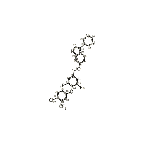 Fc1cc(COc2ccn3c(-c4cncnc4)cnc3n2)cc(F)c1Oc1ccc(Cl)c(C(F)(F)F)c1